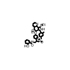 CCOC1NC(c2ccc(CS(=O)(=O)CC(CNC(=O)c3ccccc3O)c3ccccc3)cc2C)C2=C1c1ncccc1C(OCC)C2=O